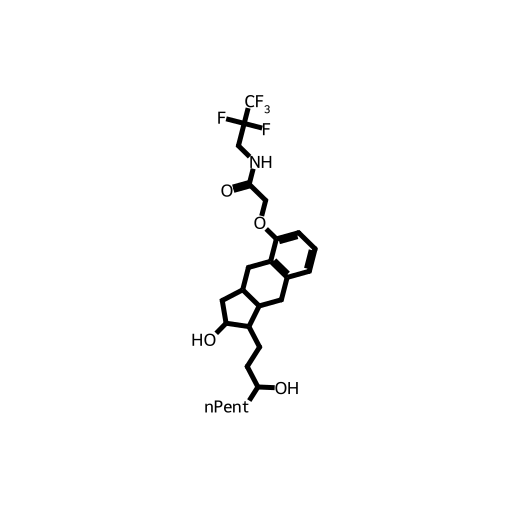 CCCCCC(O)CCC1C(O)CC2Cc3c(cccc3OCC(=O)NCC(F)(F)C(F)(F)F)CC21